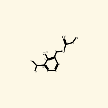 CCC(=O)OCc1cccc(C(C)C)c1Cl